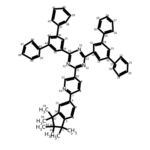 CC1(C)c2ccc(-c3ccc(-c4nc(-c5cc(-c6ccccc6)cc(-c6ccccc6)c5)nc(-c5cc(-c6ccccc6)cc(-c6ccccc6)c5)n4)cn3)cc2C(C)(C)C1(C)C